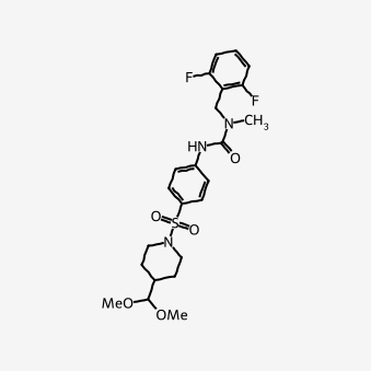 COC(OC)C1CCN(S(=O)(=O)c2ccc(NC(=O)N(C)Cc3c(F)cccc3F)cc2)CC1